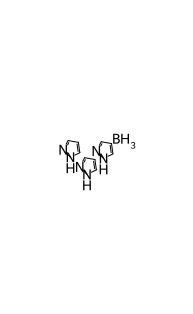 B.c1cn[nH]c1.c1cn[nH]c1.c1cn[nH]c1